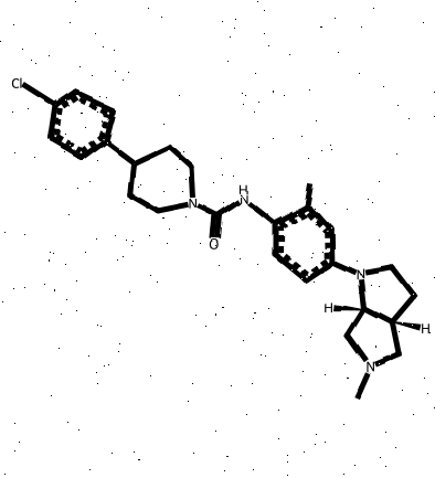 Cc1cc(N2CC[C@@H]3CN(C)C[C@@H]32)ccc1NC(=O)N1CCC(c2ccc(Cl)cc2)CC1